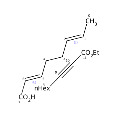 C/C=C/CC/C=C/C(=O)O.CCCCCCC#CC(=O)OCC